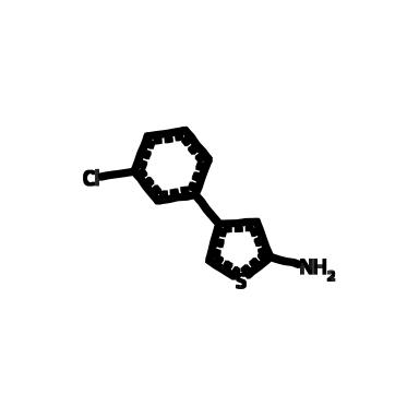 Nc1cc(-c2cccc(Cl)c2)cs1